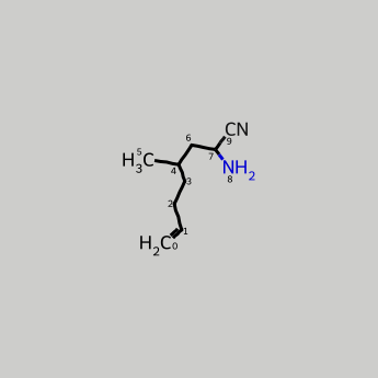 C=CCCC(C)CC(N)C#N